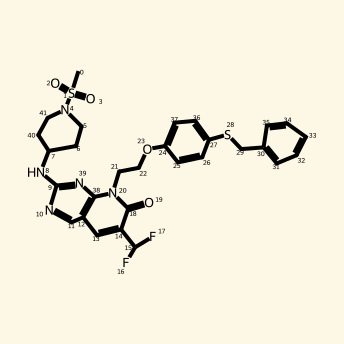 CS(=O)(=O)N1CCC(Nc2ncc3cc(C(F)F)c(=O)n(CCOc4ccc(SCc5ccccc5)cc4)c3n2)CC1